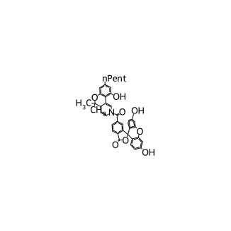 CCCCCc1cc(O)c2c(c1)OC(C)(C)C1C=CN(C(=O)c3ccc4c(c3)C3(OC4=O)c4ccc(O)cc4Oc4cc(O)ccc43)C=C21